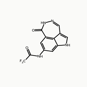 O=C1NN=Cc2c[nH]c3cc(NC(=O)C(F)(F)F)cc1c23